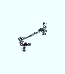 Cc1ncsc1-c1ccc(CNC(=O)[C@@H]2C[C@@H](O)CN2C(=O)[C@@H](NC(=O)CCCCCOCCOCCOCCCCCCOc2ccc(C(F)(F)F)c(CNC(=O)c3cccc(NC4(c5nnc(-c6ccncc6)[nH]5)CCN(C(=O)OC(C)(C)C)CC4)c3)c2)C(C)(C)C)cc1